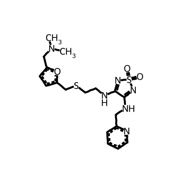 CN(C)Cc1ccc(CSCCNC2=NS(=O)(=O)N=C2NCc2ccccn2)o1